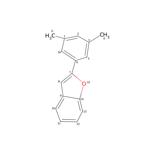 Cc1cc(C)cc(-c2cc3ccccc3o2)c1